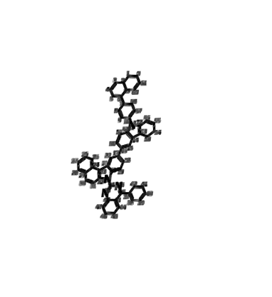 C1=CC2C=CC=C(c3ccc(-n4c5c(c6cc(-c7ccc8c(c7)c7c9ccccc9ccc7n8-c7nc(-c8ccccc8)c8ccccc8n7)ccc64)CCC=C5)cc3)C2C=C1